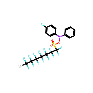 O=S(=O)(O[I+](c1ccccc1)c1ccc(F)cc1)C(F)(F)C(F)(F)C(F)(F)C(F)(F)C(F)(F)C(F)(F)C(F)(F)C(F)(F)F